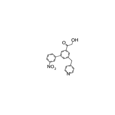 O=C(CO)c1cc(Cc2ccncc2)cc(-c2cccc([N+](=O)[O-])c2)c1